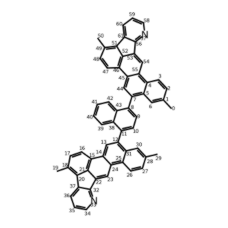 Cc1ccc2c(c1)c(-c1ccc(-c3cc4c5ccc(C)c6c5c(cc4c4ccc(C)cc34)-c3ncccc3-6)c3ccccc13)cc1c3ccc(C)c4c3c(cc21)-c1ncccc1-4